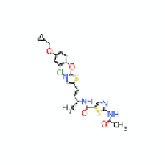 CC(=O)Nc1ncc(C(=O)N[C@@H](C)/C=C/c2cnc(Oc3ccc(OCC4CC4)cc3Cl)s2)s1